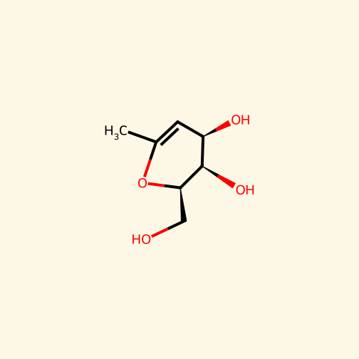 CC1=C[C@@H](O)[C@@H](O)[C@@H](CO)O1